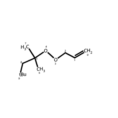 C=CCOOC(C)(C)CC(C)(C)C